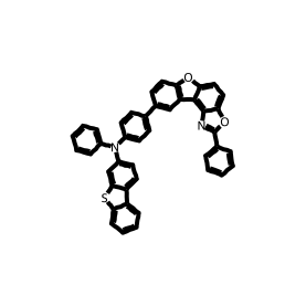 c1ccc(-c2nc3c(ccc4oc5ccc(-c6ccc(N(c7ccccc7)c7ccc8c(c7)sc7ccccc78)cc6)cc5c43)o2)cc1